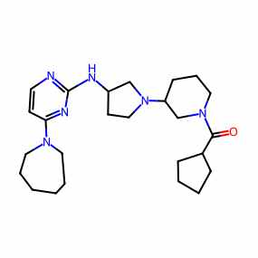 O=C(C1CCCC1)N1CCCC(N2CCC(Nc3nccc(N4CCCCCC4)n3)C2)C1